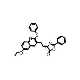 CCOc1ccc2nc(Sc3ccccc3)c(C/C=C3\N=C(c4ccccc4)OC3=O)cc2c1